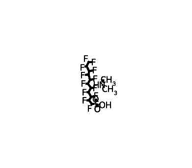 CNC.O=S(=O)(O)C(F)C(F)C(F)C(F)C(F)C(F)C(F)C(F)C(F)C(F)C(F)F